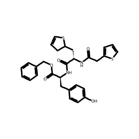 O=C(Cc1cccs1)N[C@@H](CC1CC=CS1)C(=O)N[C@@H](Cc1ccc(O)cc1)C(=O)OCc1ccccc1